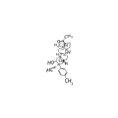 C#C[C@@]1(c2ccc(C)cc2)C[C@H]2CC[C@@H]3[C@H](CC[C@]4(C)[C@@H](C(C)=O)CC[C@@H]34)[C@@]2(C)CC1O